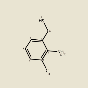 Nc1c(Cl)cccc1CS